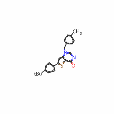 Cc1ccc(Cn2cnc(=O)c3sc(-c4ccc(C(C)(C)C)cc4)cc32)cc1